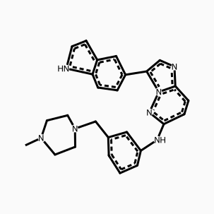 CN1CCN(Cc2cccc(Nc3ccc4ncc(-c5ccc6[nH]ccc6c5)n4n3)c2)CC1